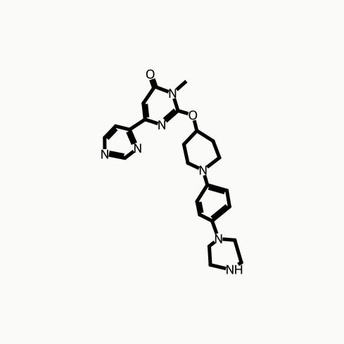 Cn1c(OC2CCN(c3ccc(N4CCNCC4)cc3)CC2)nc(-c2ccncn2)cc1=O